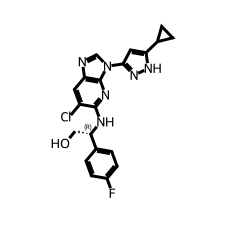 OC[C@H](Nc1nc2c(cc1Cl)ncn2-c1cc(C2CC2)[nH]n1)c1ccc(F)cc1